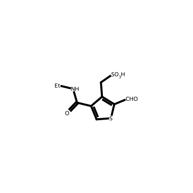 CCNC(=O)c1csc(C=O)c1CS(=O)(=O)O